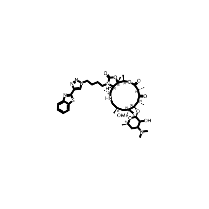 CO[C@]1(C)C[C@@H](C)CN[C@H](C)[C@H]2N(CCCCn3cc(-c4nc5ccccc5s4)nn3)C(=O)O[C@]2(C)[C@@H](C)OC(=O)[C@H](C)C(=O)[C@H](C)[C@H]1O[C@@H]1O[C@H](C)CC(N(C)C)C1O